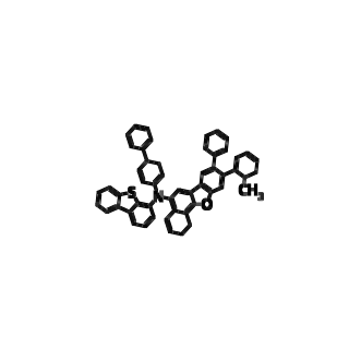 CC1CC=CC=C1c1cc2oc3c4c(c(N(C5=CCC(c6ccccc6)C=C5)c5cccc6c5sc5ccccc56)cc3c2cc1-c1ccccc1)C=CCC4